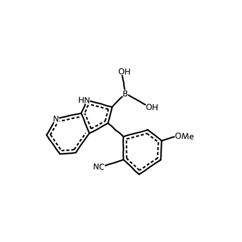 COc1ccc(C#N)c(-c2c(B(O)O)[nH]c3ncccc23)c1